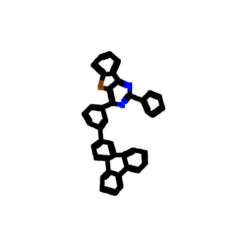 c1ccc(-c2nc(-c3cccc(-c4ccc5c6ccccc6c6ccccc6c5c4)c3)c3sc4ccccc4c3n2)cc1